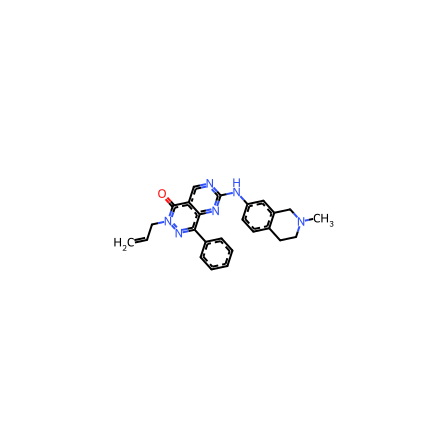 C=CCn1nc(-c2ccccc2)c2nc(Nc3ccc4c(c3)CN(C)CC4)ncc2c1=O